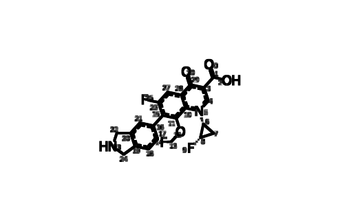 O=C(O)c1cn([C@@H]2C[C@@H]2F)c2c(OCF)c(-c3ccc4c(c3)CNC4)c(F)cc2c1=O